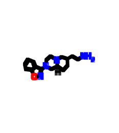 NCC[C@H]1CC[C@H]2CN(c3noc4ccccc34)CCN2C1